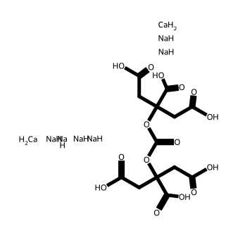 O=C(O)CC(CC(=O)O)(OC(=O)OC(CC(=O)O)(CC(=O)O)C(=O)O)C(=O)O.[CaH2].[CaH2].[NaH].[NaH].[NaH].[NaH].[NaH].[NaH]